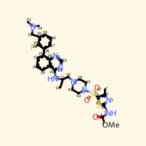 COC(=O)Nc1nc(C)c(S(=O)(=O)N2CCN(CC(C)Nc3ncnc4c(-c5cccc(CN(C)C)c5F)cccc34)CC2)s1